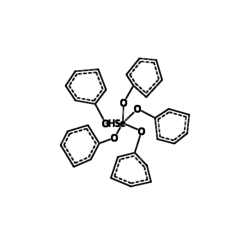 c1ccc(O[SeH](Oc2ccccc2)(Oc2ccccc2)(Oc2ccccc2)Oc2ccccc2)cc1